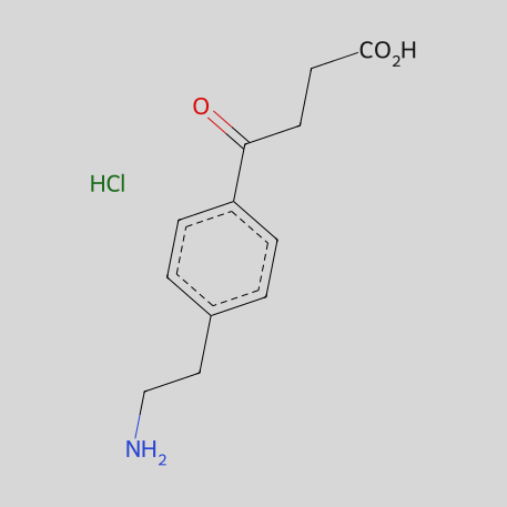 Cl.NCCc1ccc(C(=O)CCC(=O)O)cc1